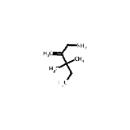 C=C(CN)C(C)(C)CC